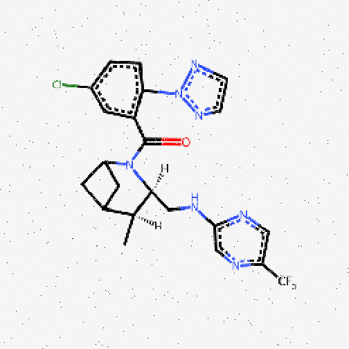 C[C@H]1C2CC(C2)N(C(=O)c2cc(Cl)ccc2-n2nccn2)[C@H]1CNc1cnc(C(F)(F)F)cn1